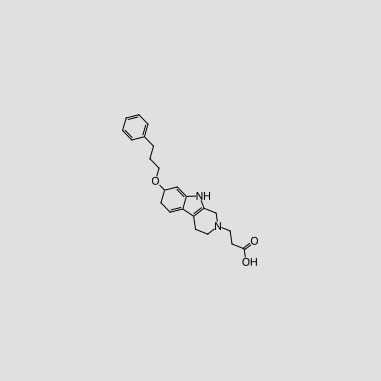 O=C(O)CCN1CCc2c([nH]c3c2=CCC(OCCCc2ccccc2)C=3)C1